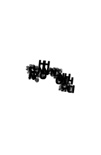 Cc1cc(NC(=O)NCCN2CCC(NC(=O)Nc3cccc(Cl)c3)CC2)c2ccccc2n1